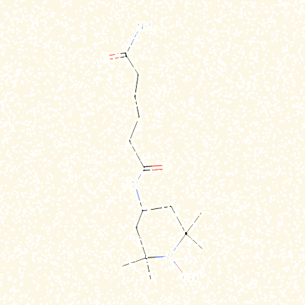 CC1(C)CC(NC(=O)CCCCC(N)=O)CC(C)(C)N1O